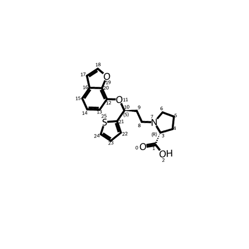 O=C(O)[C@H]1CCCN1CC[C@H](Oc1cccc2ccoc12)c1cccs1